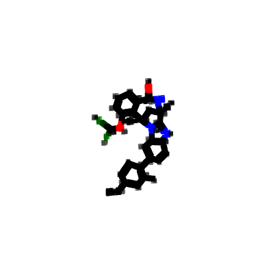 CSc1ccc(-c2ccc3nc4n(c3c2)[C@@H]2C[C@H]4NC(=O)c3cccc(OC(F)F)c32)c(C)c1